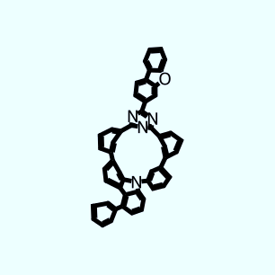 c1ccc(-c2cccc3c2c2ccc4cc2n3-c2cccc(c2)-c2cccc(c2)-c2nc(nc(-c3ccc5c(c3)oc3ccccc35)n2)-c2cccc-4c2)cc1